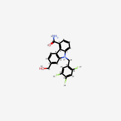 NC(=O)c1cccc2c1c1[c]cc(CO)cc1n2Cc1cc(F)c(F)cc1F